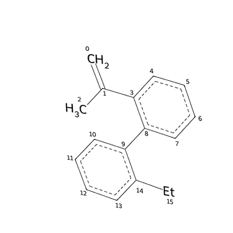 C=C(C)c1ccccc1-c1ccccc1CC